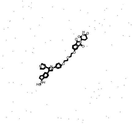 O=C1CCC(N2C(=O)c3ccc(OCCOCCOc4ccc(-n5cc(-c6ccc7c(c6)CCC7NO)c(-c6ccncc6)n5)cc4)cc3C2=O)C(=O)N1